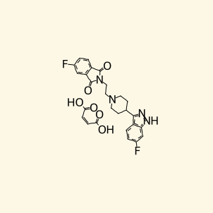 O=C(O)/C=C\C(=O)O.O=C1c2ccc(F)cc2C(=O)N1CCN1CCC(c2n[nH]c3cc(F)ccc23)CC1